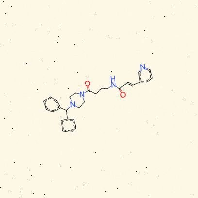 O=C(C=Cc1cccnc1)NCCCC(=O)N1CCN(C(c2ccccc2)c2ccccc2)CC1